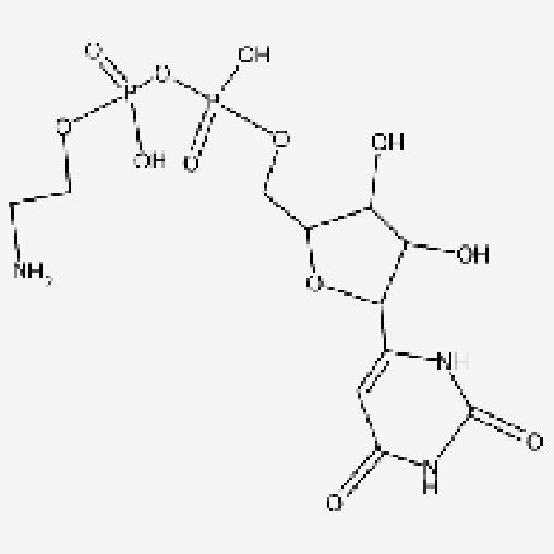 NCCOP(=O)(O)OP(=O)(O)OCC1OC(c2cc(=O)[nH]c(=O)[nH]2)C(O)C1O